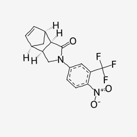 O=C1[C@H]2[C@@H](CN1c1ccc([N+](=O)[O-])c(C(F)(F)F)c1)[C@H]1C=C[C@@H]2C1